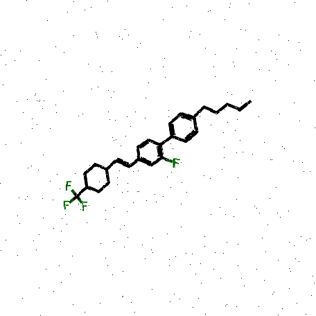 CCCCCc1ccc(-c2ccc(C=CC3CCC(C(F)(F)F)CC3)cc2F)cc1